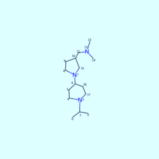 CC(C)N1CCC(N2CCC(CN(C)C)C2)CC1